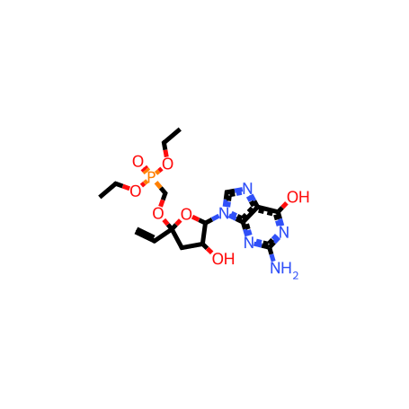 C=CC1(OCP(=O)(OCC)OCC)CC(O)C(n2cnc3c(O)nc(N)nc32)O1